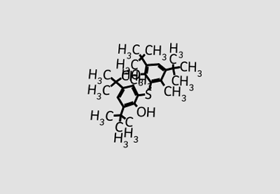 Cc1c(C(C)(C)C)cc(C(C)(C)C)c(O)c1Sc1c(C)c(C(C)(C)C)cc(C(C)(C)C)c1O